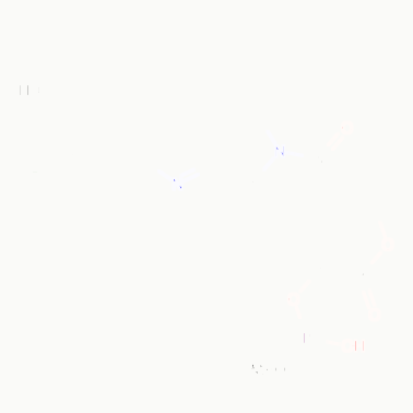 COP(O)OC1C(=O)OCc2c1cc1n(c2=O)Cc2c-1nc1cc(F)c(C)c3c1c2CCC3